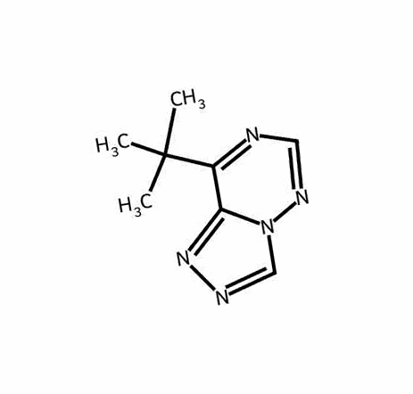 CC(C)(C)c1ncnn2cnnc12